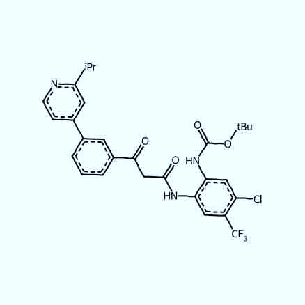 CC(C)c1cc(-c2cccc(C(=O)CC(=O)Nc3cc(C(F)(F)F)c(Cl)cc3NC(=O)OC(C)(C)C)c2)ccn1